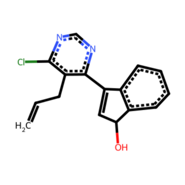 C=CCc1c(Cl)ncnc1C1=CC(O)c2ccccc21